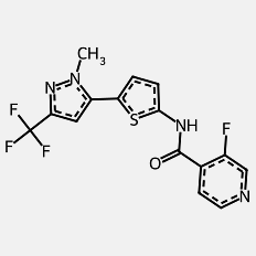 Cn1nc(C(F)(F)F)cc1-c1ccc(NC(=O)c2ccncc2F)s1